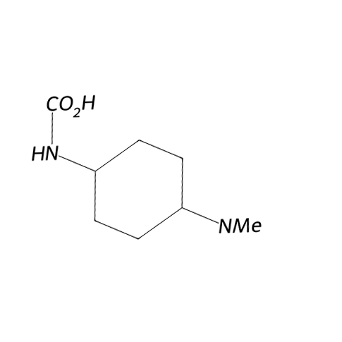 CNC1CCC(NC(=O)O)CC1